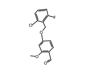 COc1cc(OCc2c(F)cccc2Cl)ccc1C=O